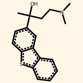 CN(C)CCC(C)(O)c1ccc2sc3ccccc3c2c1